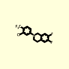 Fc1cc2c(cc1F)CN(c1ccc(C(F)(F)F)c(Cl)c1)CC2